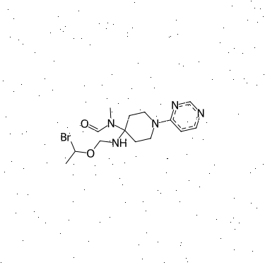 CC(Br)OCNC1(N(C)C=O)CCN(c2ccncn2)CC1